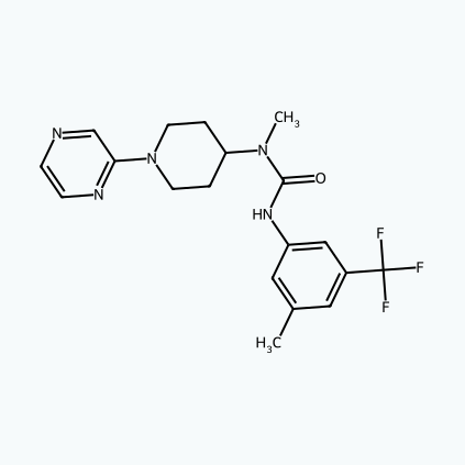 Cc1cc(NC(=O)N(C)C2CCN(c3cnccn3)CC2)cc(C(F)(F)F)c1